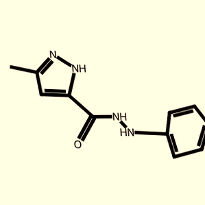 Cc1cc(C(=O)NNc2ccccc2)[nH]n1